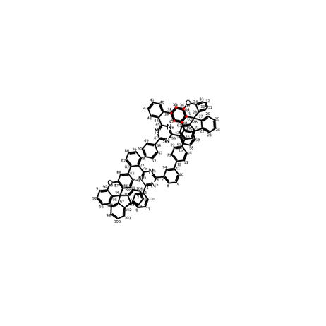 c1ccc(-c2nc(-c3cccc(-c4ccc(-c5ccc6c(c5)-c5ccccc5C65c6ccccc6Oc6cc(-c7ccccc7-c7nc(-c8ccccc8)nc(-c8ccccc8-c8ccccc8)n7)ccc65)cc4)c3)nc(-c3ccccc3-c3ccc4c(c3)Oc3ccccc3C43c4ccccc4-c4ccccc43)n2)cc1